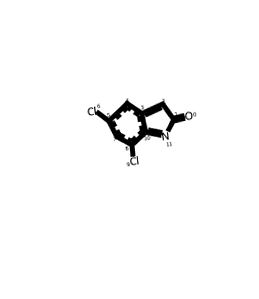 O=C1C=c2cc(Cl)cc(Cl)c2=N1